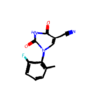 Cc1cccc(F)c1-n1cc(C#N)c(=O)[nH]c1=O